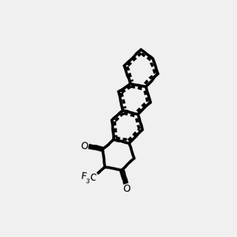 O=C1Cc2cc3cc4ccccc4cc3cc2C(=O)C1C(F)(F)F